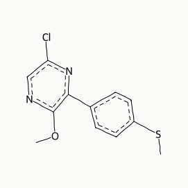 COc1ncc(Cl)nc1-c1ccc(SC)cc1